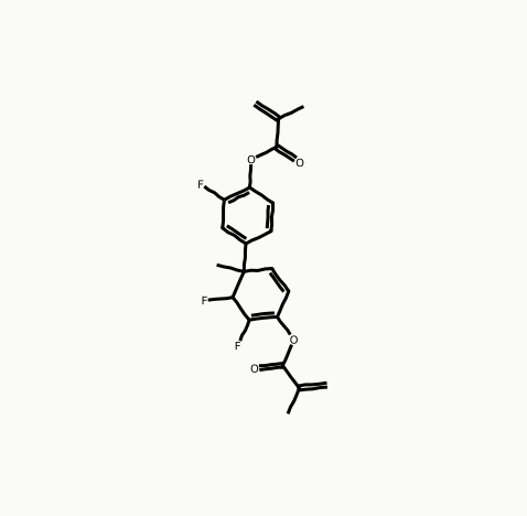 C=C(C)C(=O)OC1=C(F)C(F)C(C)(c2ccc(OC(=O)C(=C)C)c(F)c2)C=C1